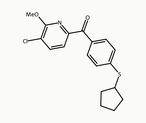 COc1nc(C(=O)c2ccc(SC3CCCC3)cc2)ccc1Cl